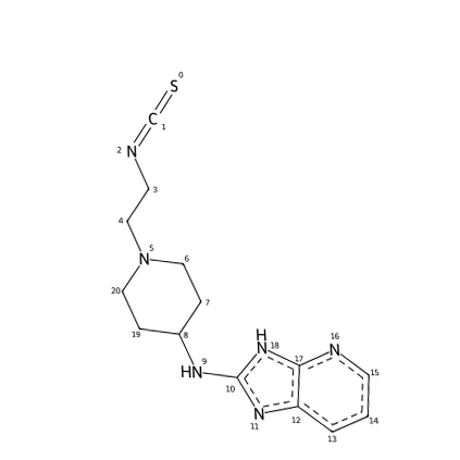 S=C=NCCN1CCC(Nc2nc3cccnc3[nH]2)CC1